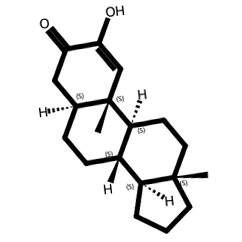 C[C@@]12CCC[C@H]1[C@@H]1CC[C@H]3CC(=O)C(O)=C[C@]3(C)[C@H]1CC2